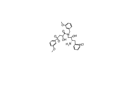 COc1cccc(CN(C[C@@H](O)[C@@H](N)Cc2ccccc2)C(=O)C(O)CS(=O)(=O)c2cccc(OC)c2)c1.Cl